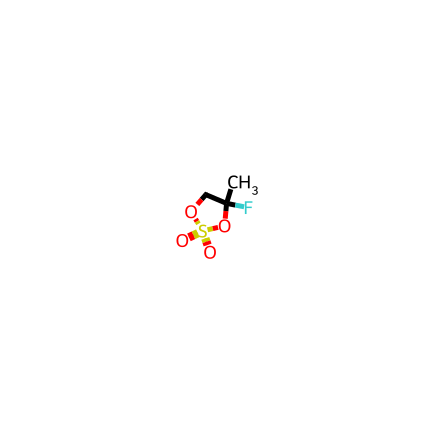 CC1(F)COS(=O)(=O)O1